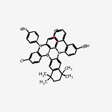 CC(C)(C)c1ccc(N2c3cc(Cl)ccc3B3c4cc5c(cc4N(c4ccc(C(C)(C)C)cc4-c4ccccc4)c4cc(C(C)(C)C)cc2c43)C(C)(C)CCC5(C)C)cc1